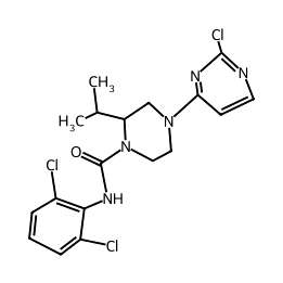 CC(C)C1CN(c2ccnc(Cl)n2)CCN1C(=O)Nc1c(Cl)cccc1Cl